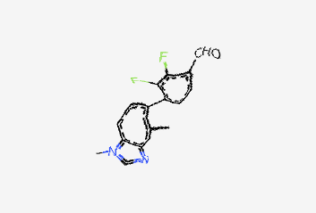 Cc1c(-c2ccc(C=O)c(F)c2F)ccc2c1ncn2C